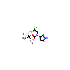 CC(C)(C)OC(=O)N(CC(F)F)[C@H]1CCNC1